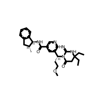 CCC1(CC)CC(=O)N([C@H](CCOC)c2cncc(C(=O)N[C@@H]3c4ccccc4C[C@H]3C)c2)C(=N)N1